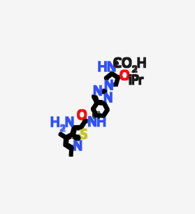 Cc1cc(C)c2c(N)c(C(=O)N[C@H]3CCc4nc(N5CC(NC(=O)O)C(OC(C)C)C5)ncc4C3)sc2n1